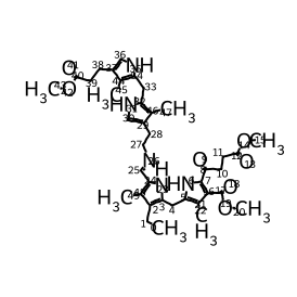 CCc1c(Cc2[nH]c(C(=O)CCC(=O)OC)c(C(=O)OC)c2C)[nH]c(/C=N/CCc2c[nH]c(Cc3[nH]cc(CCC(=O)OC)c3C)c2C)c1C